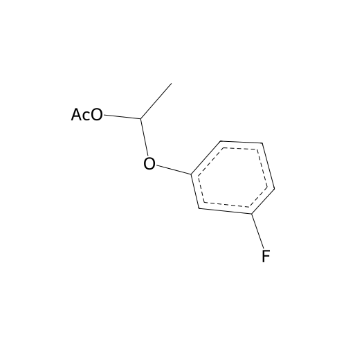 CC(=O)OC(C)Oc1cccc(F)c1